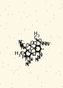 CC(=O)O[C@@H]1[C@@H](OC(C)=O)[C@H](N=[N+]=[N-])C[C@H](N=[N+]=[N-])[C@H]1O[C@H]1O[C@H](CN=[N+]=[N-])[C@@H](C)C(F)(F)[C@H]1N=[N+]=[N-]